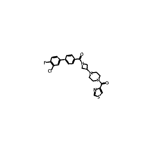 O=C(c1ccc(-c2ccc(F)c(Cl)c2)cc1)N1CC(N2CCN(C(=O)c3cscn3)CC2)C1